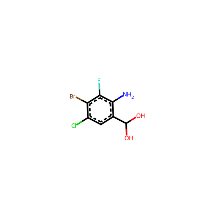 Nc1c(C(O)O)cc(Cl)c(Br)c1F